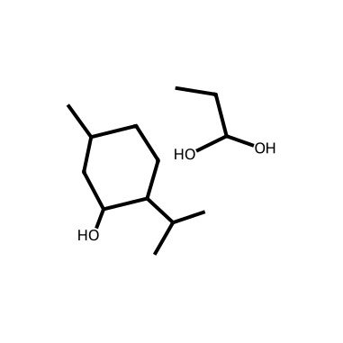 CC1CCC(C(C)C)C(O)C1.CCC(O)O